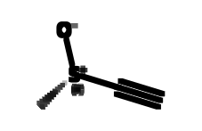 C#C[S@+](C)[O-]